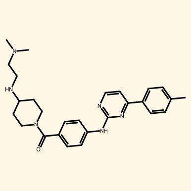 Cc1ccc(-c2ccnc(Nc3ccc(C(=O)N4CCC(NCCN(C)C)CC4)cc3)n2)cc1